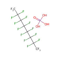 FC(F)(F)C(F)(F)C(F)(F)C(F)(F)C(F)(F)C(F)(F)C(F)(F)C(F)(F)F.O=P(O)(O)O